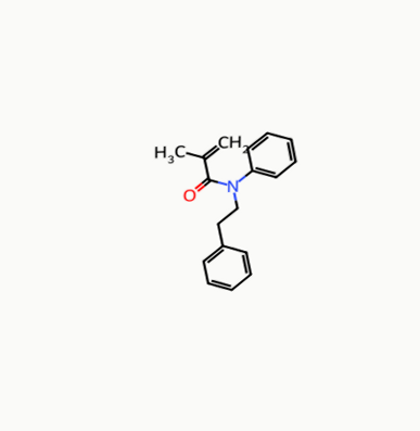 C=C(C)C(=O)N(CCc1ccccc1)c1ccccc1